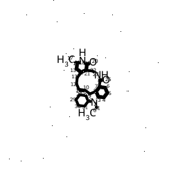 CCN(c1cccc2c1C/C=C/CCc1cc(C)[nH]c(=O)c1CNC2=O)C1CCCCC1